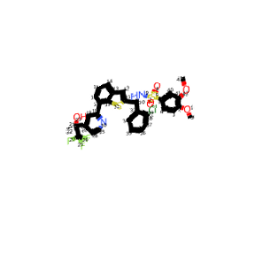 COc1ccc(S(=O)(=O)N[C@@H](c2cc3cccc(-c4cc([C@](C)(O)C(F)(F)F)ccn4)c3s2)c2ccccc2Cl)cc1OC